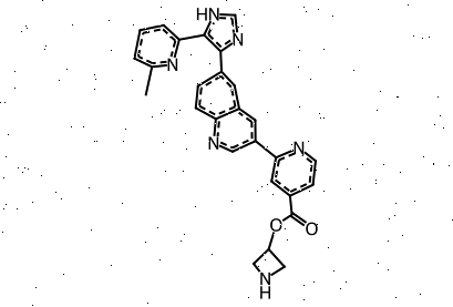 Cc1cccc(-c2[nH]cnc2-c2ccc3ncc(-c4cc(C(=O)OC5CNC5)ccn4)cc3c2)n1